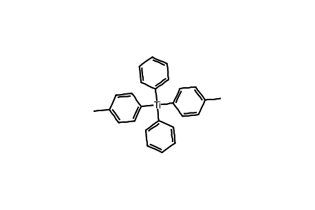 Cc1cc[c]([Ti]([c]2ccccc2)([c]2ccccc2)[c]2ccc(C)cc2)cc1